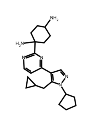 NC1CCC(N)(c2nccc(-c3cnn(C4CCCC4)c3CC3CC3)n2)CC1